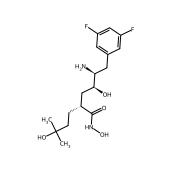 CC(C)(O)CC[C@H](C[C@H](O)[C@@H](N)Cc1cc(F)cc(F)c1)C(=O)NO